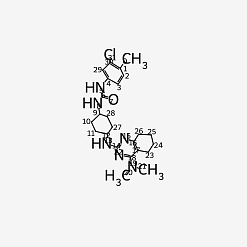 Cc1ccc(NC(=O)NC2CCC(Nc3nc4c(c(N(C)C)n3)CCCC4)CC2)cc1Cl